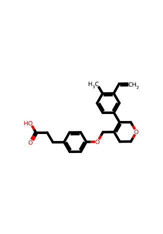 C=Cc1cc(C2=C(COc3ccc(CCC(=O)O)cc3)CCOC2)ccc1C